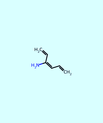 C=C/C=C(/N)C=C